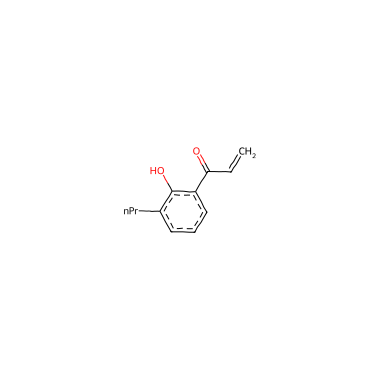 C=CC(=O)c1cccc(CCC)c1O